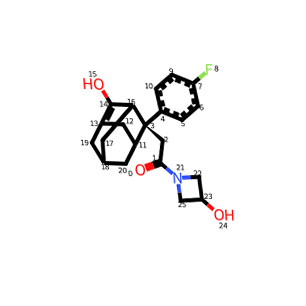 O=C(C[C@@]1(c2ccc(F)cc2)C2CC3=C(O)C1CC(C3)C2)N1CC(O)C1